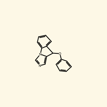 c1ccc(OC2c3ccccc3-n3cncc32)cc1